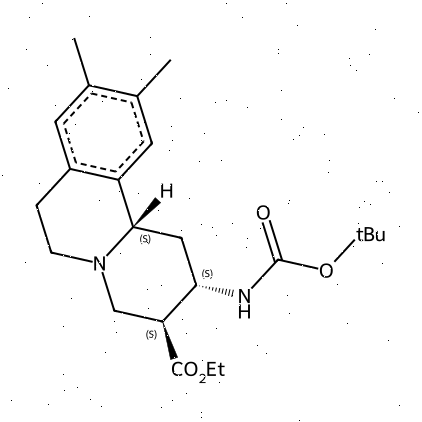 CCOC(=O)[C@H]1CN2CCc3cc(C)c(C)cc3[C@@H]2C[C@@H]1NC(=O)OC(C)(C)C